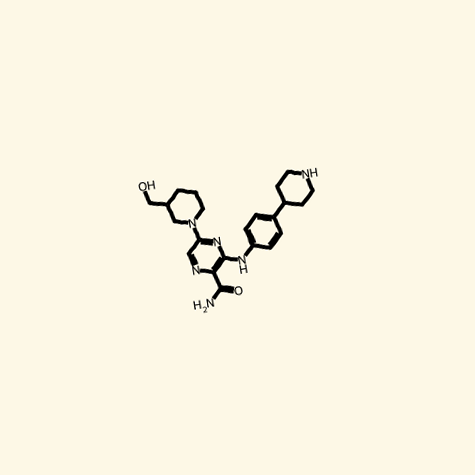 NC(=O)c1ncc(N2CCCC(CO)C2)nc1Nc1ccc(C2CCNCC2)cc1